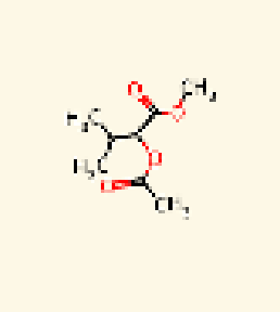 COC(=O)C(OC(C)=O)C(C)C